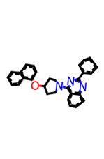 c1ccc(-c2nc(N3CCC(Oc4cccc5ccccc45)CC3)c3ccccc3n2)cc1